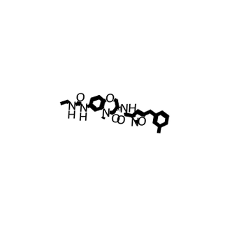 CCNC(=O)Nc1ccc2c(c1)N(C)C(=O)[C@@H](NC(=O)c1cc(CC3=CC(C)CC=C3)on1)CO2